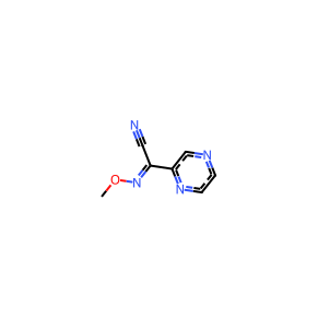 CON=C(C#N)c1cnccn1